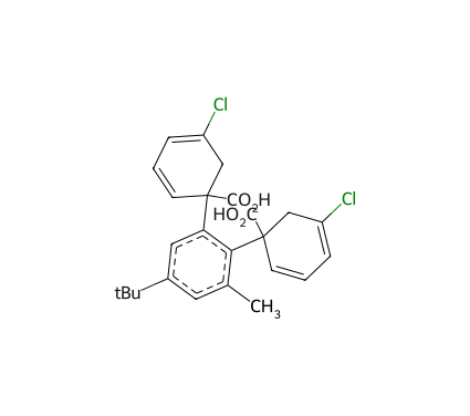 Cc1cc(C(C)(C)C)cc(C2(C(=O)O)C=CC=C(Cl)C2)c1C1(C(=O)O)C=CC=C(Cl)C1